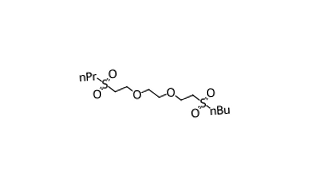 CCCCS(=O)(=O)CCOCCOCCS(=O)(=O)CCC